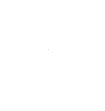 O=C(c1nc(CC2(C(F)(F)F)CC2)c[nH]1)C(O)(c1ccc(-n2cccn2)cc1)C(F)(F)F